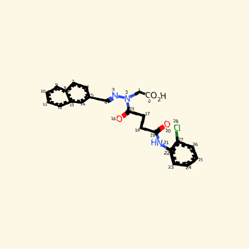 O=C(O)CN(/N=C/c1ccc2ccccc2c1)C(=O)CCC(=O)Nc1ccccc1Cl